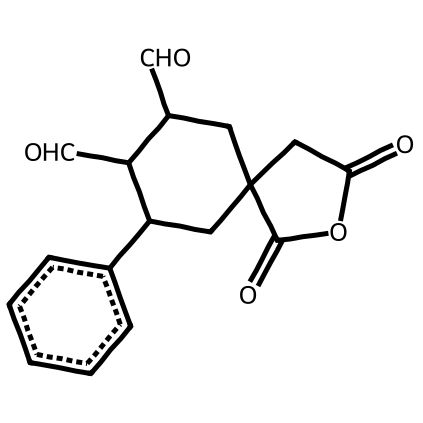 O=CC1CC2(CC(=O)OC2=O)CC(c2ccccc2)C1C=O